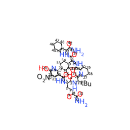 CC(C)(C)C(NC(=O)C(CCC(=O)C(N)=O)NC(=O)c1cnc(O)c([N+](=O)[O-])c1)C(=O)N1CCCC[C@@H]1C(=O)NC(C(=O)NC(C(N)=O)C1CCCCC1)C1CCCCC1